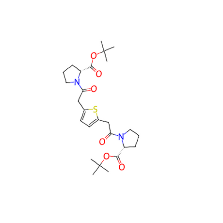 CC(C)(C)OC(=O)[C@H]1CCCN1C(=O)Cc1ccc(CC(=O)N2CCC[C@@H]2C(=O)OC(C)(C)C)s1